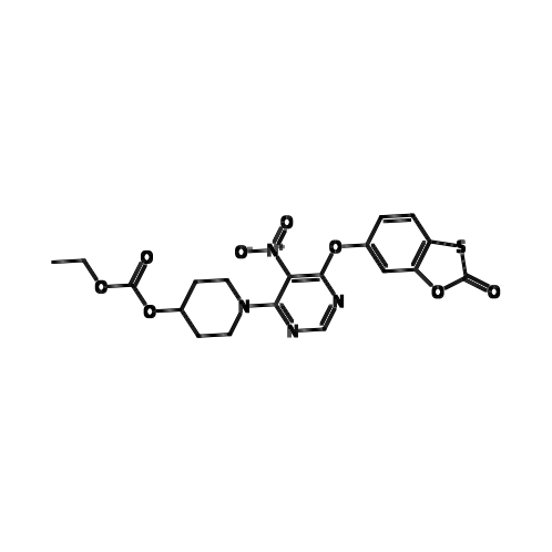 CCOC(=O)OC1CCN(c2ncnc(Oc3ccc4sc(=O)oc4c3)c2[N+](=O)[O-])CC1